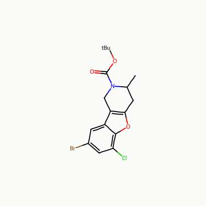 CC1Cc2oc3c(Cl)cc(Br)cc3c2CN1C(=O)OC(C)(C)C